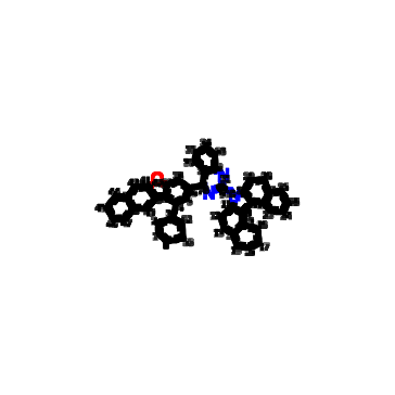 c1ccc(-c2cc(-c3nc(-n4c5ccc6ccccc6c5c5c6ccccc6ccc54)nc4ccccc34)cc3oc4cc5ccccc5cc4c23)cc1